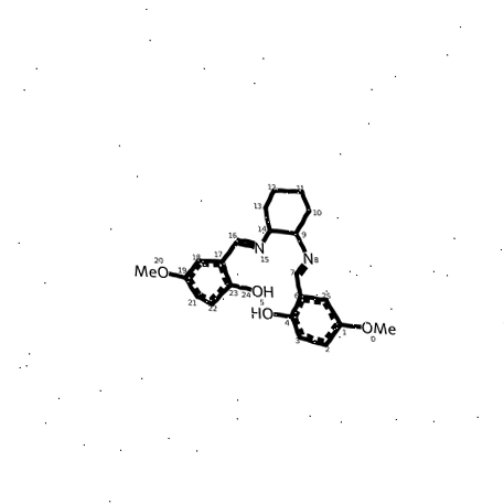 COc1ccc(O)c(C=NC2CCCCC2N=Cc2cc(OC)ccc2O)c1